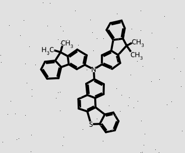 CC1(C)c2ccccc2-c2cc(N(c3ccc4c(c3)-c3ccccc3C4(C)C)c3ccc4c(ccc5sc6ccccc6c54)c3)ccc21